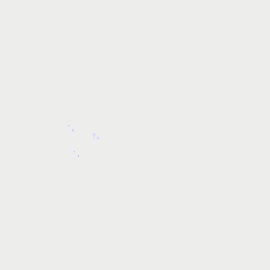 c1ccc(-c2nc(-c3ccccc3)nc(-c3cccc(-c4ccc5c6c(ccc5c4)-c4ccc5ccccc5c4C64c5ccccc5-c5ccccc54)c3)n2)cc1